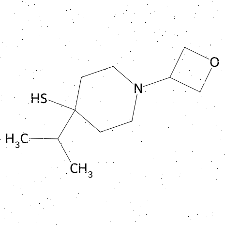 CC(C)C1(S)CCN(C2COC2)CC1